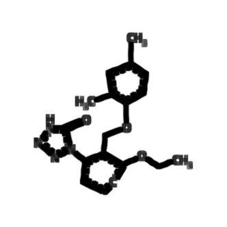 CCOc1cccc(-n2nn[nH]c2=O)c1COc1ccc(C)cc1C